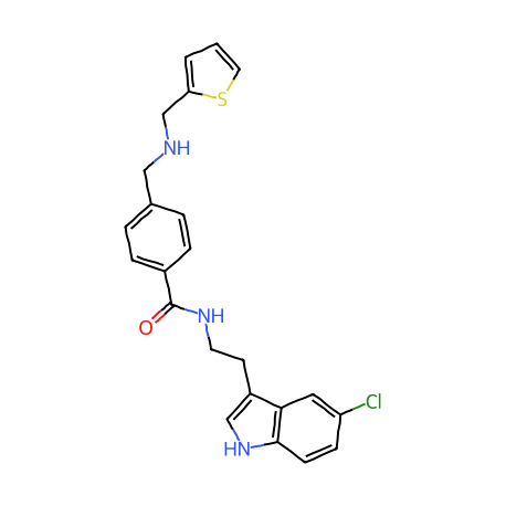 O=C(NCCc1c[nH]c2ccc(Cl)cc12)c1ccc(CNCc2cccs2)cc1